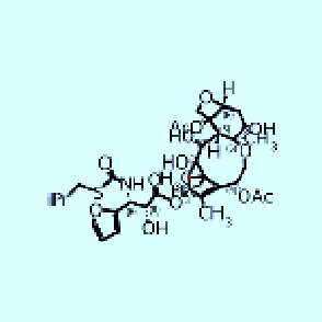 CC(=O)O[C@H]1CO[C@]2(C)[C@@H](O)C[C@H]3OC[C@@]3(OC(C)=O)[C@H]2[C@H](O)[C@]2(O)C[C@H](OC(=O)[C@H](O)[C@@H](NC(=O)SCC(C)C)c3ccco3)C(C)=C1C2(C)C